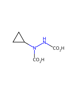 O=C(O)NN(C(=O)O)C1CC1